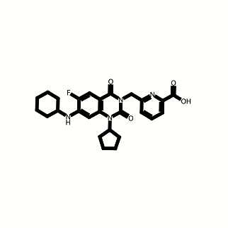 O=C(O)c1cccc(Cn2c(=O)c3cc(F)c(NC4CCCCC4)cc3n(C3CCCC3)c2=O)n1